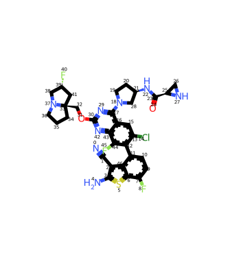 N#Cc1c(N)sc2c(F)ccc(-c3c(Cl)cc4c(N5CC[C@@H](NC(=O)[C@H]6CN6)C5)nc(OC[C@@]56CCCN5C[C@H](F)C6)nc4c3F)c12